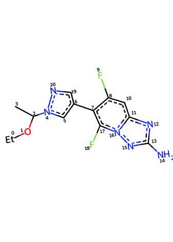 CCOC(C)n1cc(-c2c(F)cc3nc(N)nn3c2F)cn1